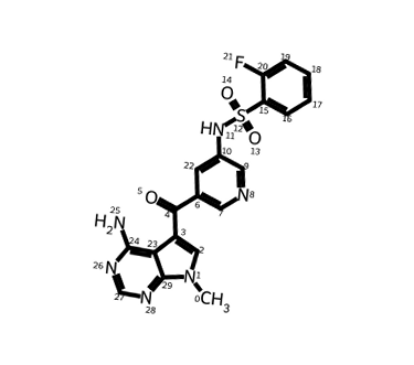 Cn1cc(C(=O)c2cncc(NS(=O)(=O)c3ccccc3F)c2)c2c(N)ncnc21